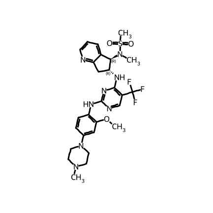 COc1cc(N2CCN(C)CC2)ccc1Nc1ncc(C(F)(F)F)c(N[C@@H]2Cc3ncccc3[C@H]2N(C)S(C)(=O)=O)n1